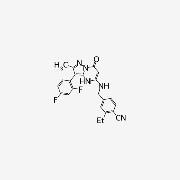 CCc1cc(CNc2cc(=O)n3nc(C)c(-c4ccc(F)cc4F)c3[nH]2)ccc1C#N